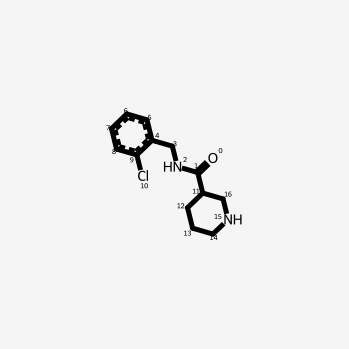 O=C(NCc1ccccc1Cl)C1CCCNC1